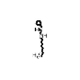 [SiH3]CCCCCCCCNCCNCc1ccccc1